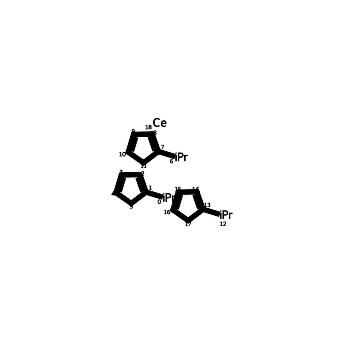 CC(C)C1=CC=CC1.CC(C)C1=CC=CC1.CC(C)C1=CC=CC1.[Ce]